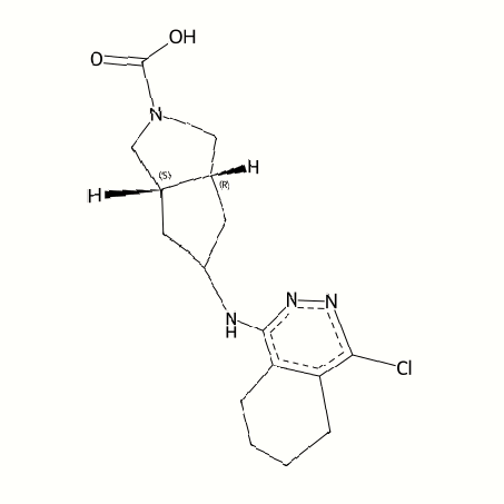 O=C(O)N1C[C@H]2CC(Nc3nnc(Cl)c4c3CCCC4)C[C@H]2C1